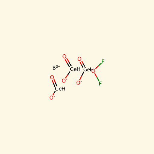 FOF.[B+3].[O]=[GeH][O-].[O]=[GeH][O-].[O]=[GeH][O-]